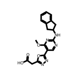 COc1nc(NC2Cc3ccccc3C2)ncc1-c1nnc(CC(=O)O)o1